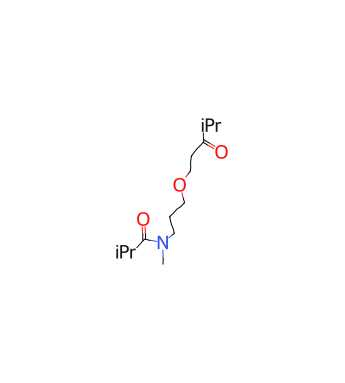 CC(C)C(=O)CCOCCCN(C)C(=O)C(C)C